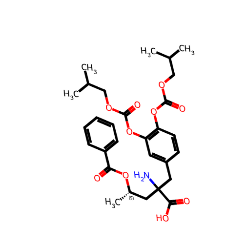 CC(C)COC(=O)Oc1ccc(CC(N)(C[C@H](C)OC(=O)c2ccccc2)C(=O)O)cc1OC(=O)OCC(C)C